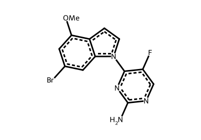 COc1cc(Br)cc2c1ccn2-c1nc(N)ncc1F